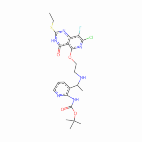 CCSc1nc2c(F)c(Cl)nc(OCCNC(C)c3cccnc3NC(=O)OC(C)(C)C)c2c(=O)[nH]1